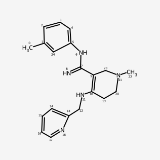 Cc1cccc(NC(=N)C2=C(NCc3ccccn3)CCN(C)C2)c1